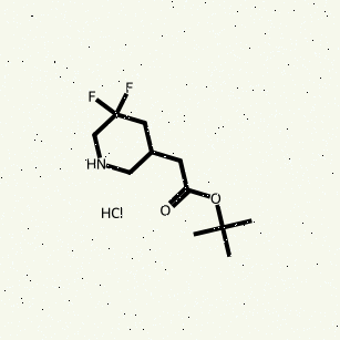 CC(C)(C)OC(=O)CC1CNCC(F)(F)C1.Cl